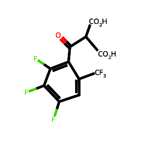 O=C(O)C(C(=O)O)C(=O)c1c(C(F)(F)F)cc(F)c(F)c1F